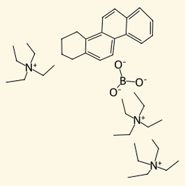 CC[N+](CC)(CC)CC.CC[N+](CC)(CC)CC.CC[N+](CC)(CC)CC.[O-]B([O-])[O-].c1ccc2c(c1)ccc1c3c(ccc12)CCCC3